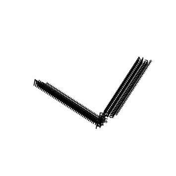 F[B-](F)(F)F.F[B-](F)(F)F.[Na+].[Na+].[Na+].[Na+].[Na+].[Na+].[Na+].[Na+].[Na+].[Na+].[Na+].[Na+].[Na+].[Na+].[Na+].[Na+].[Na+].[Na+].[Na+].[Na+].[Na+].[Na+].[Na+].[Na+].[Na+].[Na+].[Na+].[Na+].[Na+].[Na+].[Na+].[Na+].[Na+].[Na+].[Na+].[Na+].[Na+].[Na+].[Na+].[Na+].[Na+].[Na+].[Na+].[Na+].[Na+].[Na+].[Na+].[Na+].[Na+].[Na+].[Na+].[Na+].[Na+].[Na+].[Na+].[Na+].[Na+].[Na+].[Na+].[Na+].[Na+].[Na+].[Na+].[Na+].[Na+].[Na+].[Na+].[Na+].[Na+].[Na+].[Na+].[Na+].[Na+].[Na+].[Na+].[Na+]